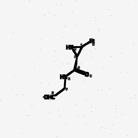 CCC1N[C@@H]1C(=O)NC[C]=O